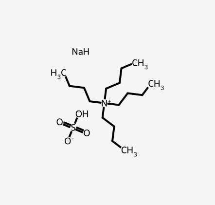 CCCC[N+](CCCC)(CCCC)CCCC.O=S(=O)([O-])O.[NaH]